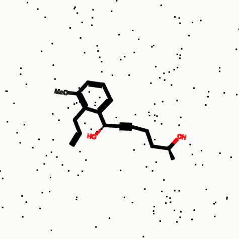 C=CCc1c(OC)cccc1[C@@H](O)C#CCC[C@H](C)O